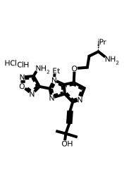 CCn1c(-c2nonc2N)nc2c(C#CC(C)(C)O)ncc(OCC[C@@H](N)C(C)C)c21.Cl.Cl